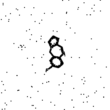 Fc1ccc2c(c1)Cn1cccc1C=N2